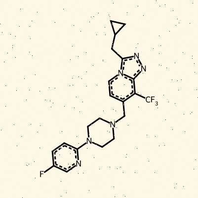 Fc1ccc(N2CCN(Cc3ccn4c(CC5CC5)nnc4c3C(F)(F)F)CC2)nc1